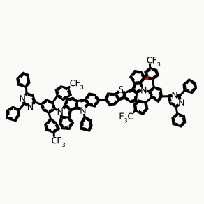 FC(F)(F)c1ccc(-c2cc(-c3cc(-c4ccccc4)nc(-c4ccccc4)n3)cc(-c3ccc(C(F)(F)F)cc3)c2-n2c3ccccc3c3c4sc5cc(-c6ccc7c8ccc9c(c%10ccccc%10n9-c9c(-c%10ccc(C(F)(F)F)cc%10)cc(-c%10cc(-c%11ccccc%11)nc(-c%11ccccc%11)n%10)cc9-c9ccc(C(F)(F)F)cc9)c8n(-c8ccccc8)c7c6)ccc5c4ccc32)cc1